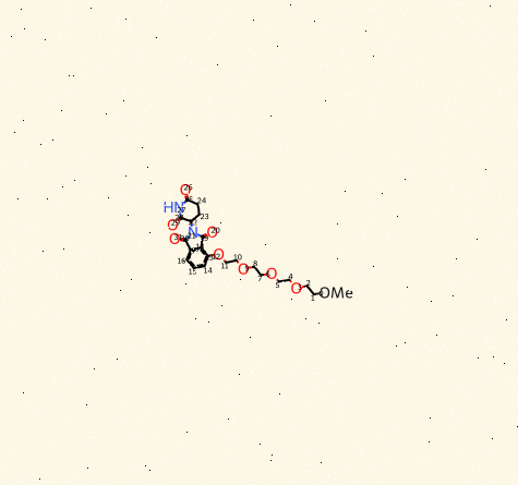 COCCOCCOCCOCCOc1cccc2c1C(=O)N(C1CCC(=O)NC1=O)C2=O